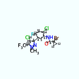 Cn1nc(-c2cc(NC(=O)C3(Br)CC3)c(Cl)cc2F)c(Cl)c1C(F)(F)F